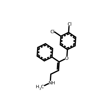 CNCC=C(Oc1ccc(Cl)c(Cl)c1)c1ccccc1